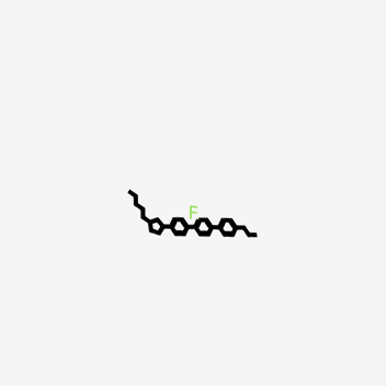 CCCCCC1CCC(c2ccc(-c3ccc(-c4ccc(CCC)cc4)cc3F)cc2)C1